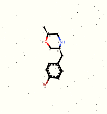 C[C@H]1CN[C@@H](Cc2ccc(Br)cc2)CO1